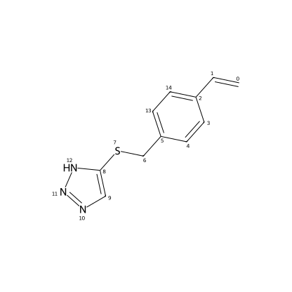 C=Cc1ccc(CSc2cnn[nH]2)cc1